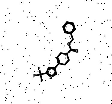 O=C(OCc1ccccc1)N1CC=C(c2csc(C(F)(F)F)c2)CC1